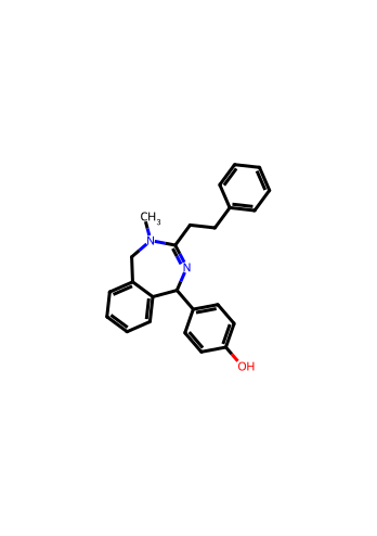 CN1Cc2ccccc2C(c2ccc(O)cc2)N=C1CCc1ccccc1